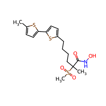 Cc1ccc(-c2ccc(CCCCC(C)(C(=O)NO)S(C)(=O)=O)s2)s1